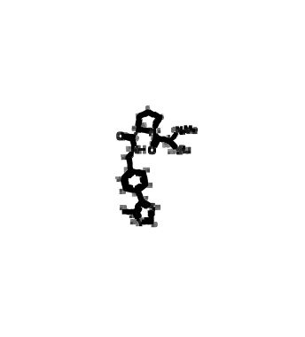 CN[C@H](C(=O)N1CCC[C@H]1C(=O)NCc1ccc(-c2scnc2C)cc1)C(C)(C)C